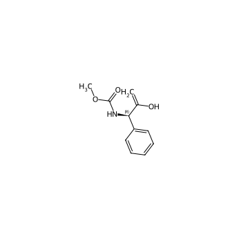 C=C(O)[C@H](NC(=O)OC)c1ccccc1